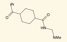 CNCNC(=O)C1CCC(C(=O)C(C)C)CC1